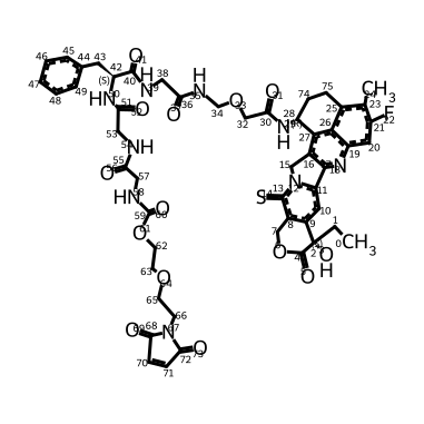 CC[C@@]1(O)C(=O)OCc2c1cc1n(c2=S)Cc2c-1nc1cc(F)c(C)c3c1c2[C@H](NC(=O)COCNC(=O)CNC(=O)[C@H](Cc1ccccc1)NC(=O)CNC(=O)CNC(=O)OCCOCCN1C(=O)C=CC1=O)CC3